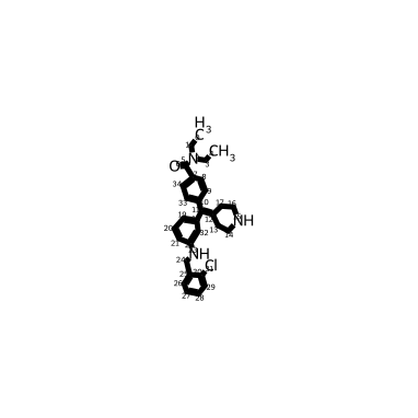 CCN(CC)C(=O)c1ccc(C(=C2CCNCC2)c2cccc(NCc3ccccc3Cl)c2)cc1